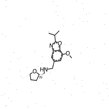 COc1cc(CNC[C@@H]2CCCO2)cc2nc(C(C)C)oc12